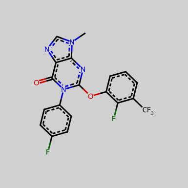 Cn1cnc2c(=O)n(-c3ccc(F)cc3)c(Oc3cccc(C(F)(F)F)c3F)nc21